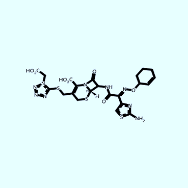 Nc1nc(C(=NOC2C=CCCC2)C(=O)NC2C(=O)N3C(C(=O)O)=C(CSc4nnnn4CC(=O)O)CS[C@@H]23)cs1